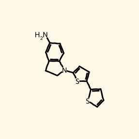 Nc1ccc2c(c1)CCN2c1ccc(-c2cccs2)s1